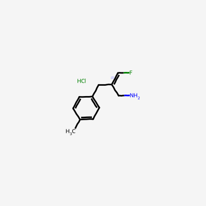 Cc1ccc(C/C(=C/F)CN)cc1.Cl